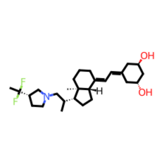 CC(CN1CC[C@H](C(C)(F)F)C1)[C@H]1CC[C@H]2/C(=C/C=C3C[C@@H](O)C[C@H](O)C3)CCC[C@]12C